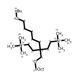 CCCCCCCCOCC(CCCCCOCCCC)(CC[N+](C)(C)C)CC[N+](C)(C)C